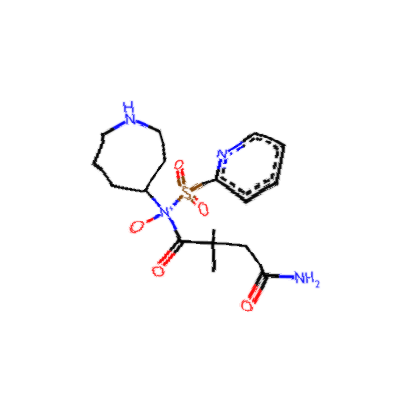 CC(C)(CC(N)=O)C(=O)[N+]([O-])(C1CCCNCC1)S(=O)(=O)c1ccccn1